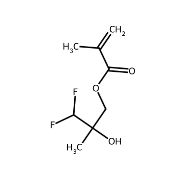 C=C(C)C(=O)OCC(C)(O)C(F)F